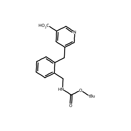 CC(C)(C)OC(=O)NCc1ccccc1Cc1cncc(C(=O)O)c1